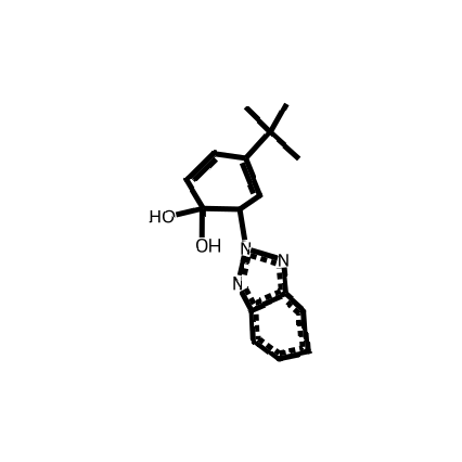 CC(C)(C)C1=CC(n2nc3ccccc3n2)C(O)(O)C=C1